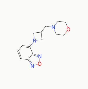 c1cc(N2CC(CN3CCOCC3)C2)c2nonc2c1